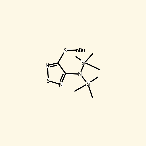 CCCCSc1nsnc1N([Si](C)(C)C)[Si](C)(C)C